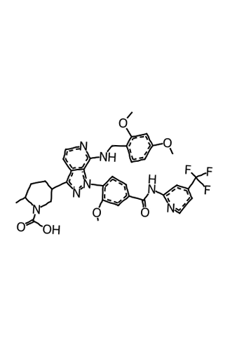 COc1ccc(CNc2nccc3c(C4CCC(C)N(C(=O)O)C4)nn(-c4ccc(C(=O)Nc5cc(C(F)(F)F)ccn5)cc4OC)c23)c(OC)c1